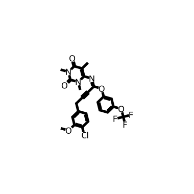 COc1cc(CC#C/C(=N\c2c(C)c(=O)n(C)c(=O)n2C)Oc2cccc(OC(F)(F)F)c2)ccc1Cl